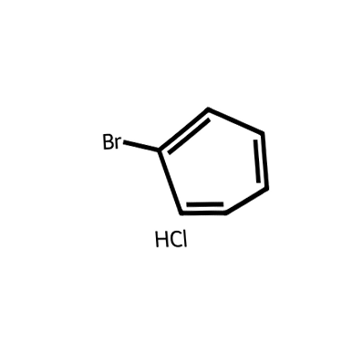 Brc1ccccc1.Cl